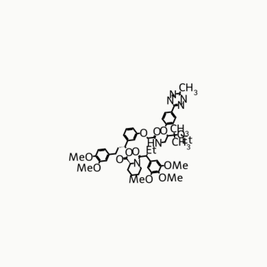 CCOC(C)(C)C(CNC(=O)COc1cccc([C@@H](CCc2ccc(OC)c(OC)c2)OC(=O)[C@@H]2CCCCN2C(=O)[C@@H](CC)c2cc(OC)c(OC)c(OC)c2)c1)Oc1ccc(-c2nnc(C)nn2)cc1